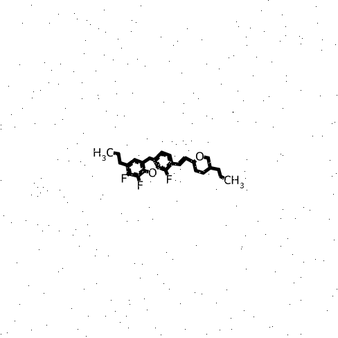 CCCc1cc2c(c(F)c1F)Oc1c(ccc(/C=C/C3CCC(CCC)CO3)c1F)C2